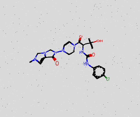 CN1C=C2C(=O)N(N3CCN(C(=O)C(NC(=O)Nc4ccc(Cl)cc4)C(C)(C)O)CC3)CN2C1